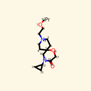 CC(C)OCCN1CCC2(CC1)CN(C1CC1)C(=O)CO2